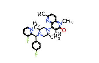 C[C@@H]1CN(c2c(C#N)c(=O)n(C)c3ccc(C#N)nc23)[C@@H](C)CN1C(c1ccc(F)cc1)c1ncccc1F